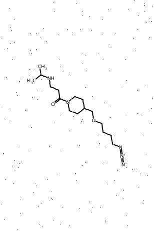 CC(C)NCCC(=O)N1CCC(COCCCCN=[N+]=[N-])CC1